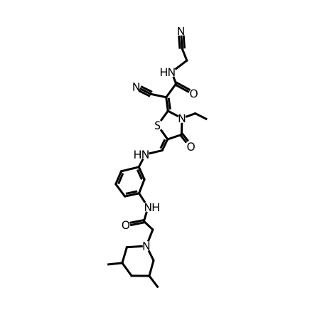 CCn1c(=C(C#N)C(=O)NCC#N)sc(=CNc2cccc(NC(=O)CN3CC(C)CC(C)C3)c2)c1=O